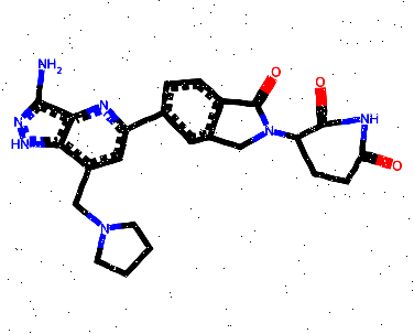 Nc1n[nH]c2c(CN3CCCC3)cc(-c3ccc4c(c3)CN(C3CCC(=O)NC3=O)C4=O)nc12